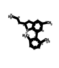 Cc1cc2c(c(-c3c(C)cccc3C)c1)OC(CCN)C2